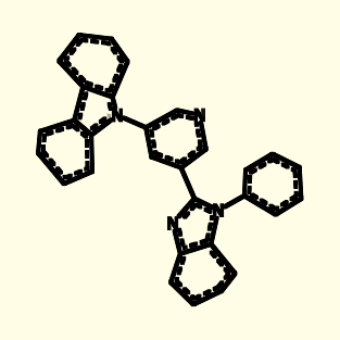 c1ccc(-n2c(-c3cncc(-n4c5ccccc5c5ccccc54)c3)nc3ccccc32)cc1